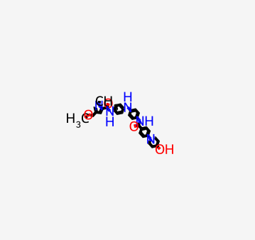 COCc1cc(C(=O)Nc2ccc(Nc3ccc(NC(=O)c4ccc(N5CCC(O)CC5)cc4)cc3)cc2)n(C)c1